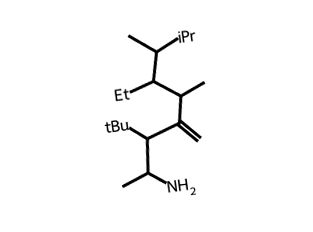 C=C(C(C)C(CC)C(C)C(C)C)C(C(C)N)C(C)(C)C